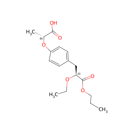 CCCOC(=O)[C@H](Cc1ccc(O[C@H](C)C(=O)O)cc1)OCC